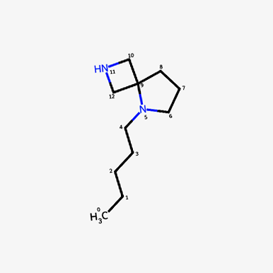 CCCCCN1CCCC12CNC2